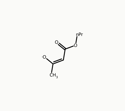 CCCOC(=O)C=C(C)[O]